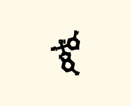 CCCC(O)(c1cncc(Br)c1)c1nc2ccc(Br)cc2s1